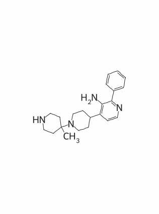 CC1(N2CCC(c3ccnc(-c4ccccc4)c3N)CC2)CCNCC1